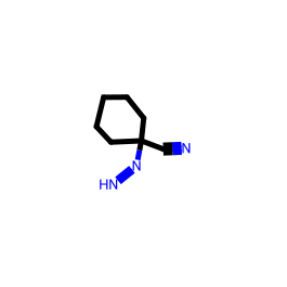 N#CC1(N=N)CCCCC1